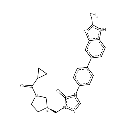 Cc1nc2cc(-c3ccc(-n4cnn(C[C@H]5CCN(C(=O)C6CC6)C5)c4=O)cc3)ccc2[nH]1